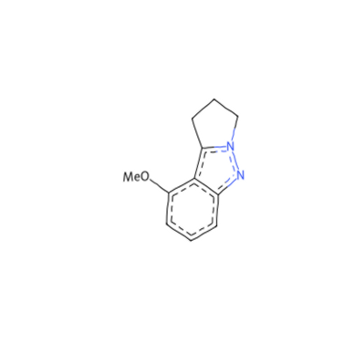 COc1cccc2nn3c(c12)CCC3